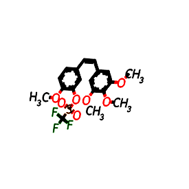 COc1ccc(/C=C\c2cc(OC)c(OC)c(OC)c2)cc1OS(=O)(=O)C(F)(F)F